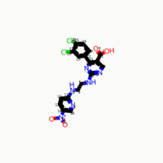 O=C(O)c1cnc(NCCNc2ccc([N+](=O)[O-])cn2)nc1-c1ccc(Cl)c(Cl)c1